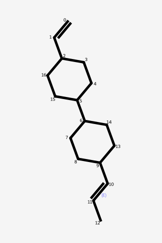 C=CC1CCC(C2CCC(/C=C/C)CC2)CC1